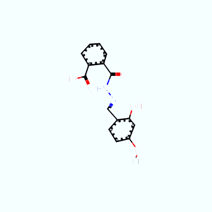 COc1ccc(/C=N/NC(=O)c2ccccc2C(=O)O)c(O)c1